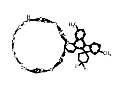 CCC1(CC)CCC2(CC1)c1cc(C)ccc1-c1c2c2c(c3cc(C)ccc13)OC1(C=C2)c2ccc(cc2)Oc2ccc(cc2)NCCCCCCCCCCNc2ccc(cc2)Oc2ccc1cc2